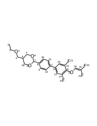 CCOCC1COC(c2ccc(-c3cc(F)c(OC=C(F)F)c(F)c3)cc2)OC1